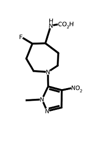 Cn1ncc([N+](=O)[O-])c1N1CCC(F)C(NC(=O)O)CC1